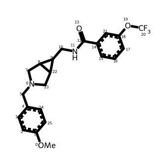 COc1ccc(CN2CC3C(CNC(=O)c4cccc(OC(F)(F)F)c4)C3C2)cc1